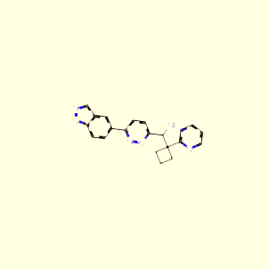 NC(c1ccc(-c2ccc3[nH]ncc3c2)nn1)C1(c2ccccn2)CCC1